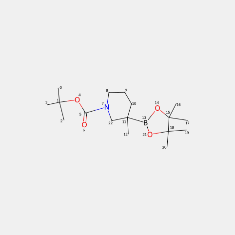 CC(C)(C)OC(=O)N1CCCC(C)(B2OC(C)(C)C(C)(C)O2)C1